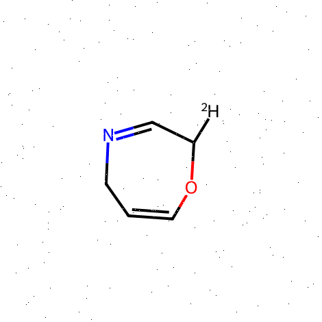 [2H]C1C=NCC=CO1